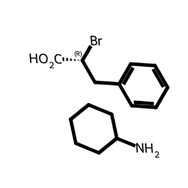 NC1CCCCC1.O=C(O)[C@H](Br)Cc1ccccc1